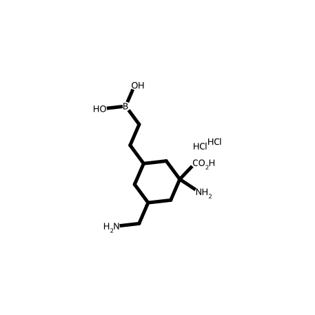 Cl.Cl.NCC1CC(CCB(O)O)CC(N)(C(=O)O)C1